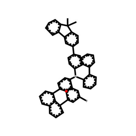 CC1(C)c2ccccc2-c2cc(-c3ccc(N(c4ccc(-c5cccc6cccc(-c7cccc(F)c7)c56)cc4)c4ccccc4-c4ccccc4)cc3)ccc21